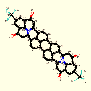 O=c1cc2c3ccc4c5ccc6c7c(ccc(c8ccc(c3c48)c3cc(=O)c4cc(C(F)(F)F)cc1c4n23)c57)c1cc(=O)c2cc(C(F)(F)F)cc3c(=O)cc6n1c32